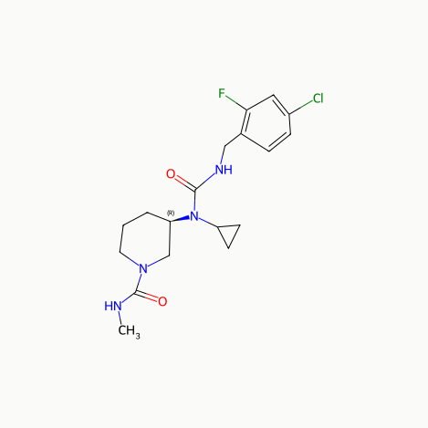 CNC(=O)N1CCC[C@@H](N(C(=O)NCc2ccc(Cl)cc2F)C2CC2)C1